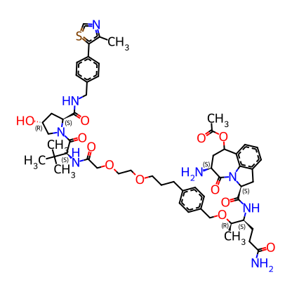 CC(=O)OC1C[C@H](N)C(=O)N2c3c(cccc31)C[C@H]2C(=O)N[C@@H](CCC(N)=O)[C@@H](C)OCc1ccc(CCCOCCOCC(=O)N[C@H](C(=O)N2C[C@H](O)C[C@H]2C(=O)NCc2ccc(-c3scnc3C)cc2)C(C)(C)C)cc1